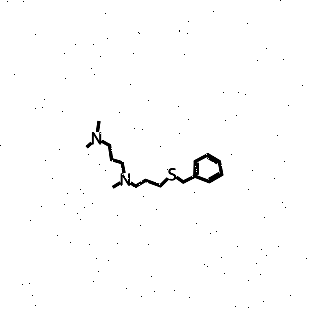 CN(C)CCCN(C)CCCSCc1ccccc1